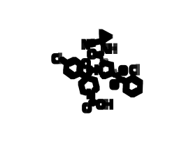 N#CC1(NC(=O)[C@@H]2C[C@@H](S(=O)(=O)c3ccccc3Cl)CN2C(=O)C2(c3ccc(Cl)cc3)CCN(C(=O)O)CC2)CC1